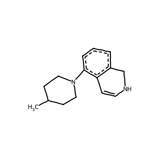 CC1CCN(c2cccc3c2C=CNC3)CC1